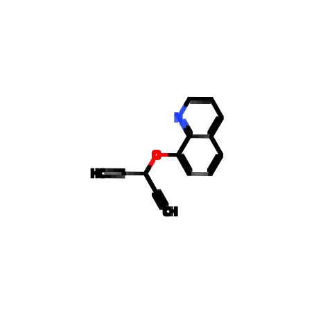 C#CC(C#C)Oc1cccc2cccnc12